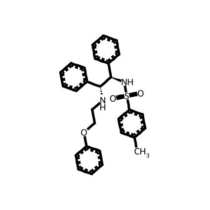 Cc1ccc(S(=O)(=O)N[C@H](c2ccccc2)[C@H](NCCOc2ccccc2)c2ccccc2)cc1